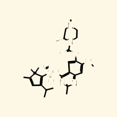 COc1cc2nc(C)nc(OS(=O)(=O)C3=C(C(C)C)C=C(C)C3(C)C)c2cc1OC(=O)N1CCN(C)C[C@@H]1C